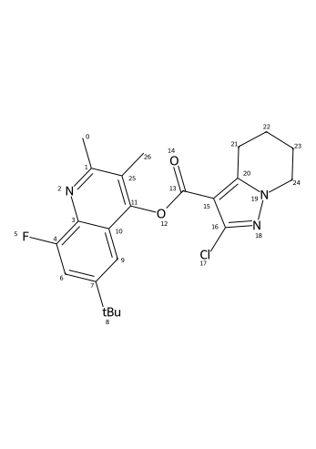 Cc1nc2c(F)cc(C(C)(C)C)cc2c(OC(=O)c2c(Cl)nn3c2CCCC3)c1C